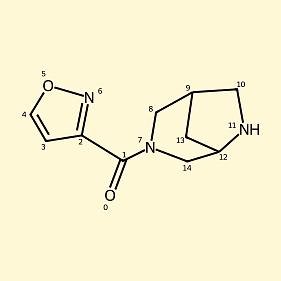 O=C(c1ccon1)N1CC2CNC(C2)C1